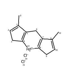 CC1=CC[C]2=C1CC1=[C](CC=C1C)[Hf+2]2.[Cl-].[Cl-]